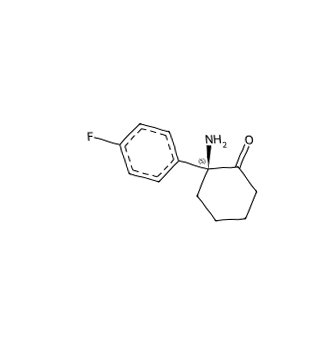 N[C@]1(c2ccc(F)cc2)CCCCC1=O